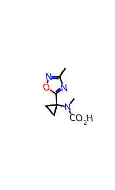 Cc1noc(C2(N(C)C(=O)O)CC2)n1